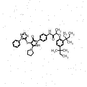 CCC(C)(C)c1ccc(OC(C)C(=O)Nc2ccc(-n3[nH]c(N4CCCC4)c(Sc4nnnn4-c4ccccc4)c3=O)cc2)c(C(C)(C)CC)c1